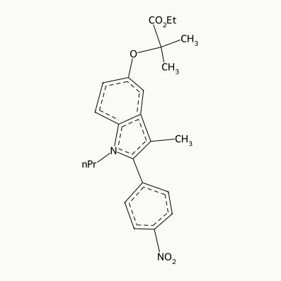 CCCn1c(-c2ccc([N+](=O)[O-])cc2)c(C)c2cc(OC(C)(C)C(=O)OCC)ccc21